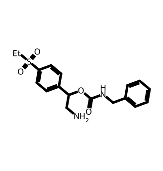 CCS(=O)(=O)c1ccc(C(CN)OC(=O)NCc2ccccc2)cc1